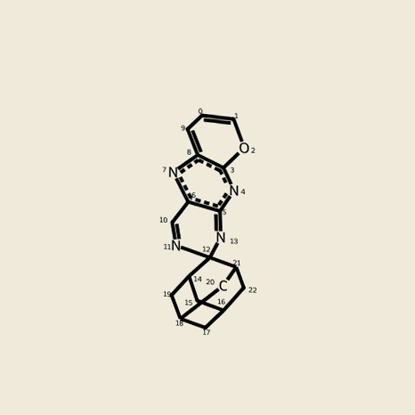 C1=COc2nc3c(nc2=C1)C=NC1(N=3)C2CC3CC(C2)CC1C3